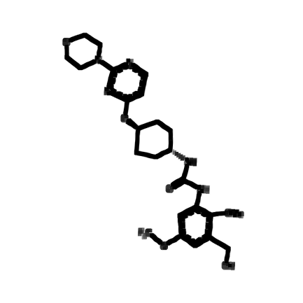 COc1c(CO)cc(OC(F)(F)F)cc1NC(=O)N[C@H]1CC[C@H](Oc2ccnc(N3CCOCC3)n2)CC1